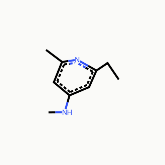 CCc1cc(NC)cc(C)n1